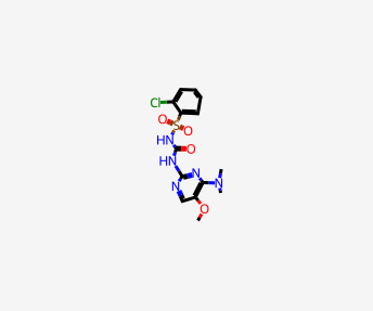 COc1cnc(NC(=O)NS(=O)(=O)c2ccccc2Cl)nc1N(C)C